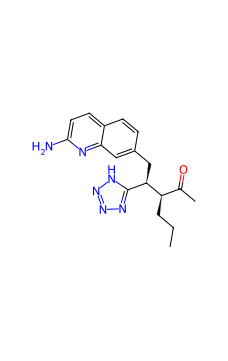 CCC[C@H](C(C)=O)[C@H](Cc1ccc2ccc(N)nc2c1)c1nnn[nH]1